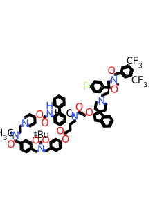 CN(CCCC(=O)Oc1ccc(CN(Cc2ccc(C(=O)N(C)CCN3CCC(OC(=O)Nc4ccccc4-c4ccccc4)CC3)cc2)C(=O)OC(C)(C)C)cc1)C(=O)CO[C@H]1Cc2ccccc2C12CCN(CC[C@@]1(c3ccc(F)cc3)CN(C(=O)c3cc(C(F)(F)F)cc(C(F)(F)F)c3)CO1)CC2